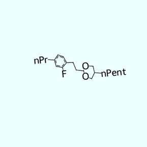 CCCCCC1COC(CCc2ccc(CCC)cc2F)OC1